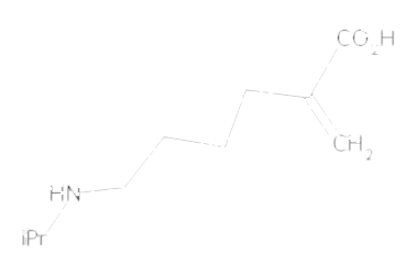 C=C(CCCCNC(C)C)C(=O)O